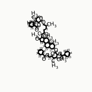 C[C@@H](CCC(=O)[C@@H](C)C1C(=O)CC2C3CCC4CC(O[C@@H]5OC(COC(=O)c6ccccc6)[C@H](C)[C@H](C)C5OC(=O)c5ccccc5)CCC4(C)C3CCC21C)CO[C@@H]1OC[C@H](C)[C@H](C)C1OC(=O)c1ccccc1